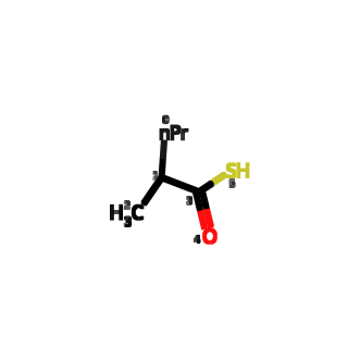 CCCC(C)C(=O)S